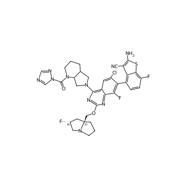 N#Cc1c(N)sc2c(F)ccc(-c3c(Cl)cc4c(N5CC6CCCN(C(=O)n7cncn7)C6C5)nc(OC[C@@]56CCCN5C[C@H](F)C6)nc4c3F)c12